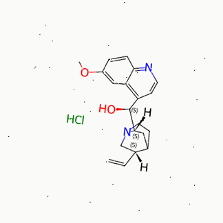 C=C[C@@H]1CN2CCC1C[C@H]2[C@@H](O)c1ccnc2ccc(OC)cc12.Cl